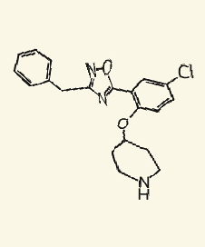 Clc1ccc(OC2CCNCC2)c(-c2nc(Cc3ccccc3)no2)c1